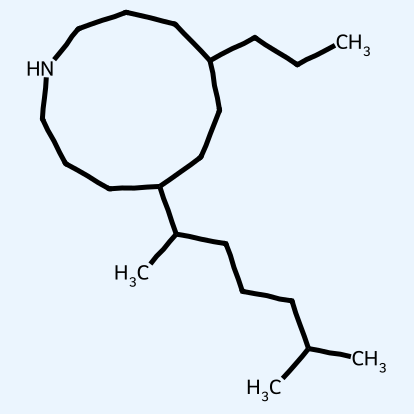 CCCC1CCCNCCCC(C(C)CCCC(C)C)CC1